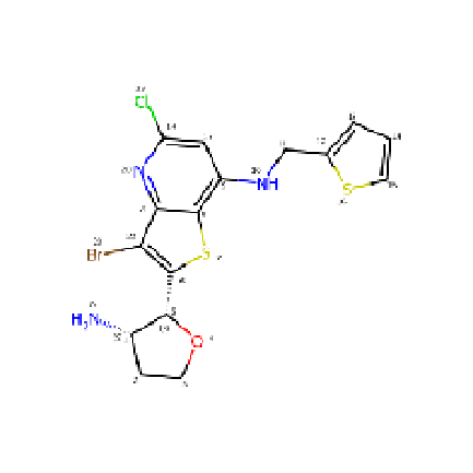 N[C@H]1CCO[C@H]1c1sc2c(NCc3cccs3)cc(Cl)nc2c1Br